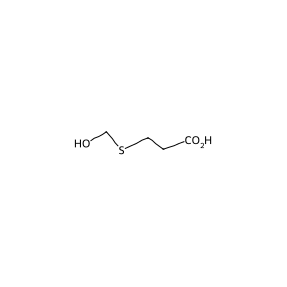 O=C(O)CCSCO